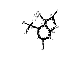 Cc1cc(C(F)(F)F)c2c(N)c(C)sc2n1